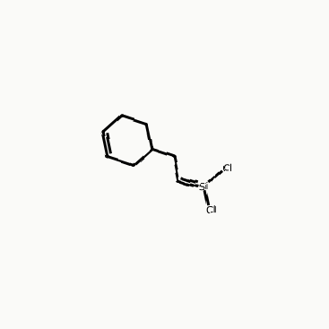 Cl[Si](Cl)=CCC1CC=CCC1